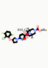 CCOC(=O)C1=C(c2ccc(N3CC[C@@H](Oc4c(F)ccc(F)c4Cl)C3)nc2)C[C@H]2CN(C(=O)OC(C)(C)C)C[C@@H]1N2C(=O)OC(C)(C)C